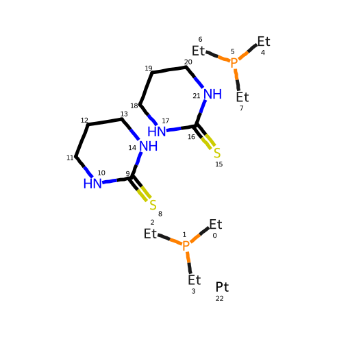 CCP(CC)CC.CCP(CC)CC.S=C1NCCCN1.S=C1NCCCN1.[Pt]